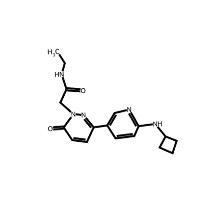 CCNC(=O)Cn1nc(-c2ccc(NC3CCC3)nc2)ccc1=O